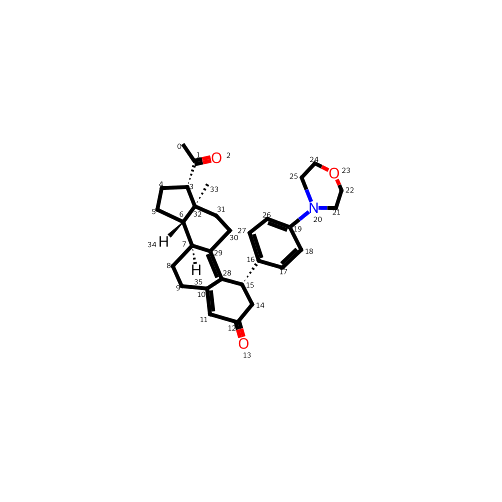 CC(=O)[C@H]1CC[C@H]2[C@@H]3CCC4=CC(=O)C[C@@H](c5ccc(N6CCOCC6)cc5)C4=C3CC[C@]12C